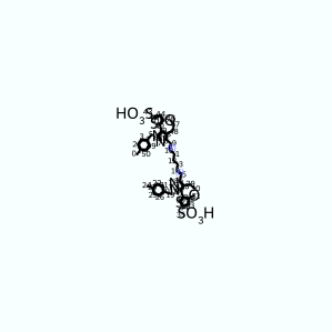 Cc1ccc(Cn2nc(/C=C/CCC/C=C/c3nn(Cc4ccc(C)cc4)c4c3CCOc3cc(S(=O)(=O)O)sc3-4)c3c2-c2sc(S(=O)(=O)O)cc2OCC3)cc1